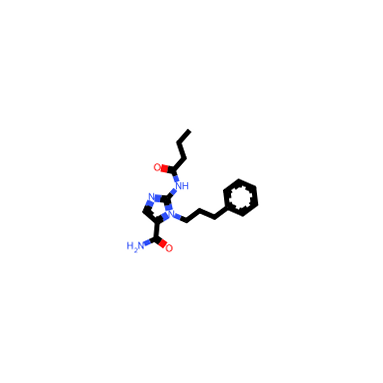 CCCC(=O)Nc1ncc(C(N)=O)n1CCCc1ccccc1